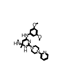 CNC1(C)C=C(Nc2cc(OC)cc(OC)c2)N=C(N2CCN(c3ccccn3)CC2)N1